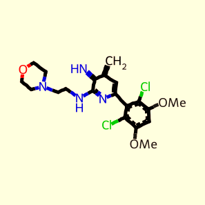 C=C1C=C(c2c(Cl)c(OC)cc(OC)c2Cl)N=C(NCCN2CCOCC2)C1=N